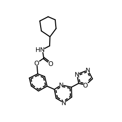 O=C(NCC1CCCCC1)Oc1cccc(-c2cncc(-c3nnco3)n2)c1